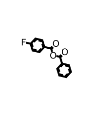 O=C(OC(=O)c1ccc(F)cc1)c1ccccc1